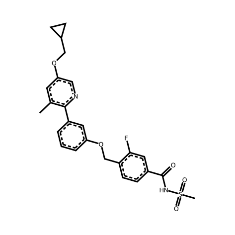 Cc1cc(OCC2CC2)cnc1-c1cccc(OCc2ccc(C(=O)NS(C)(=O)=O)cc2F)c1